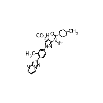 Cc1cc(-n2cc(C(=O)O)c(N(C(=O)[C@H]3CC[C@H](C)CC3)C(C)C)n2)ccc1-c1cc2ncccn2n1